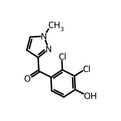 Cn1ccc(C(=O)c2ccc(O)c(Cl)c2Cl)n1